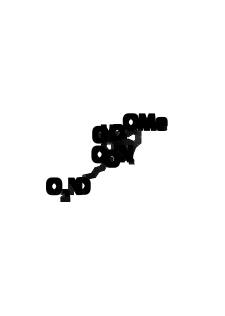 COc1ccc2c3c1O[C@H]1C(=O)CCC4(OC(=O)CCCCO[N+](=O)[O-])C(C2)N(C)CC[C@]314